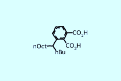 CCCCCCCCC(CCCC)c1cccc(C(=O)O)c1C(=O)O